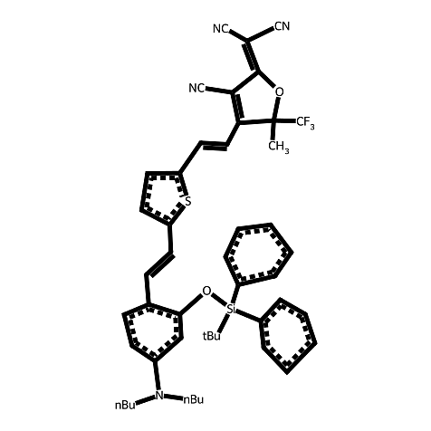 CCCCN(CCCC)c1ccc(C=Cc2ccc(C=CC3=C(C#N)C(=C(C#N)C#N)OC3(C)C(F)(F)F)s2)c(O[Si](c2ccccc2)(c2ccccc2)C(C)(C)C)c1